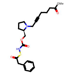 COC(=O)CCCC#CCN1CCC[C@@H]1COC(=O)NSC(=O)Cc1ccccc1